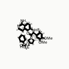 CCS(=O)(=O)c1ccccc1[C@H]1[C@@H](C(=O)O)CCN1C(=O)C(Nc1ccc2c(N)nccc2c1)c1cc(OC)c(OC)cc1F